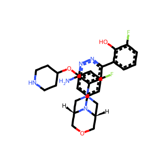 Nc1nnc(-c2cccc(F)c2O)cc1N1C[C@H]2COC[C@@H](C1)N2c1cc(F)cc(OC2CCNCC2)c1